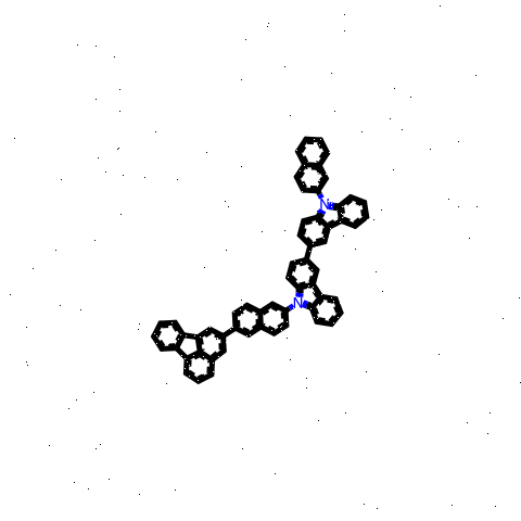 c1ccc2c(c1)-c1cccc3cc(-c4ccc5cc(-n6c7ccccc7c7cc(-c8ccc9c(c8)c8ccccc8n9-c8ccc9ccccc9c8)ccc76)ccc5c4)cc-2c13